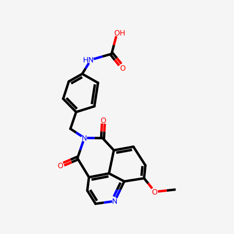 COc1ccc2c3c(ccnc13)C(=O)N(Cc1ccc(NC(=O)O)cc1)C2=O